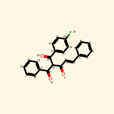 O=C(/C=C/c1ccccc1)C(C(=O)c1ccccc1)C(=O)c1ccc(F)cc1